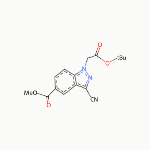 COC(=O)c1ccc2c(c1)c(C#N)nn2CC(=O)OC(C)(C)C